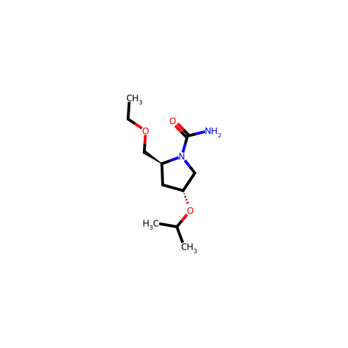 CCOC[C@@H]1C[C@@H](OC(C)C)CN1C(N)=O